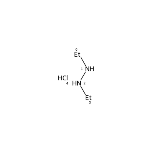 CCNNCC.Cl